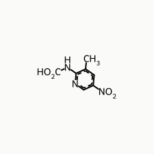 Cc1cc([N+](=O)[O-])cnc1NC(=O)O